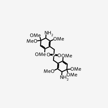 COC1=CC(OC)(OC)C(N)C(OC)=C1CS(=O)(=O)CC1=C(OC)C(N)C(OC)(OC)C=C1OC